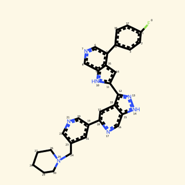 Fc1ccc(-c2cncc3[nH]c(-c4n[nH]c5cnc(-c6cncc(CN7CCCCC7)c6)cc45)cc23)cc1